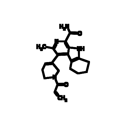 C=CC(=O)N1CCC=C(c2c(C)nc(C(N)=O)c3[nH]c4c(c23)CCCC4)C1